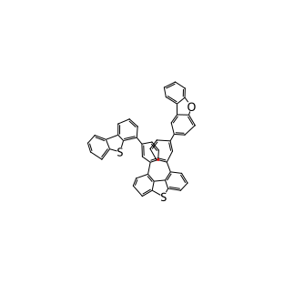 c1cc(-c2ccc3oc4ccccc4c3c2)cc(-c2cccc3sc4cccc(-c5cccc(-c6cccc7c6sc6ccccc67)c5)c4c23)c1